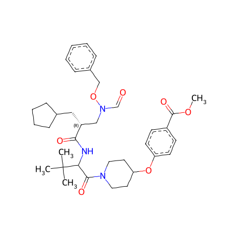 COC(=O)c1ccc(OC2CCN(C(=O)C(NC(=O)[C@H](CC3CCCC3)CN(C=O)OCc3ccccc3)C(C)(C)C)CC2)cc1